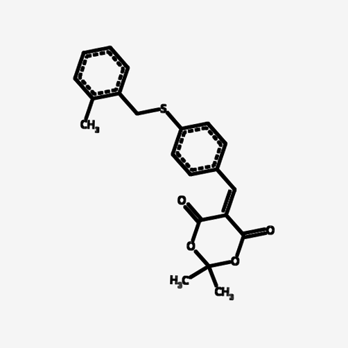 Cc1ccccc1CSc1ccc(C=C2C(=O)OC(C)(C)OC2=O)cc1